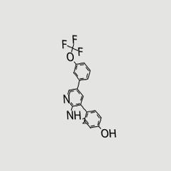 Nc1ncc(-c2cccc(OC(F)(F)F)c2)cc1-c1ccc(O)cc1